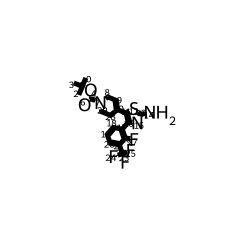 CC(C)(C)OC(=O)N1CC=C(c2sc(N)nc2-c2cccc(C(F)(F)F)c2F)CC1